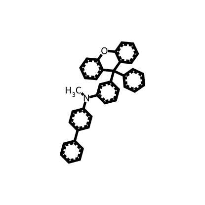 CN(c1ccc(-c2ccccc2)cc1)c1cccc(C2(c3ccccc3)c3ccccc3Oc3ccccc32)c1